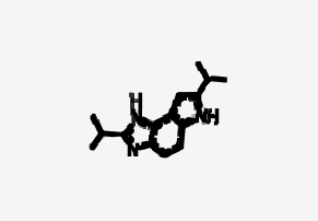 CC(C)c1cc2c(ccc3nc(C(C)C)[nH]c32)[nH]1